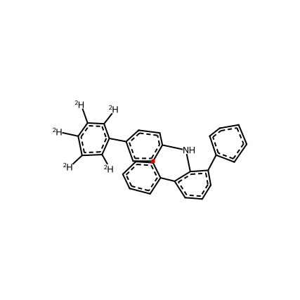 [2H]c1c([2H])c([2H])c(-c2ccc(Nc3c(-c4ccccc4)cccc3-c3ccccc3)cc2)c([2H])c1[2H]